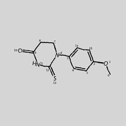 COc1ccc(N2[CH]CC(=O)NC2=S)cc1